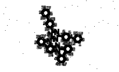 c1ccc(-c2ccc(-c3nc(-c4ccc(-c5ccccc5)cc4)nc(-n4c5ccccc5c5ccc6c(nc7c8ccccc8c8ccccc8n67)c54)n3)cc2)cc1